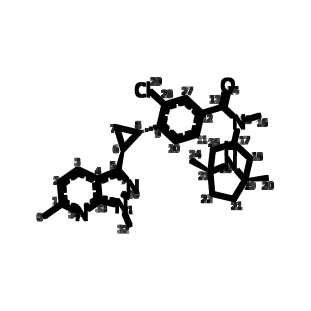 Cc1ccc2c([C@H]3C[C@@H]3c3ccc(C(=O)N(C)C4C[C@]5(C)CC[C@](C)(C4)N5)cc3Cl)nn(C)c2n1